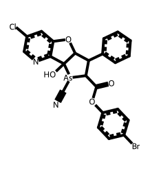 N#C[As]1C(C(=O)Oc2ccc(Br)cc2)C(c2ccccc2)C2Oc3cc(Cl)cnc3C21O